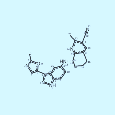 Cc1ncc(-c2n[nH]c3ccc(N[C@H]4CCCc5cc(C#N)c(C)nc54)cc23)o1